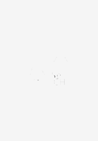 C[Se](c1ccccc1)c1ccccc1